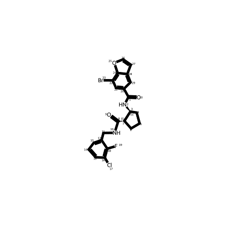 O=C(N[C@H]1CCC[C@@H]1C(=O)NCc1cccc(Cl)c1F)c1cc(Br)c2occc2c1